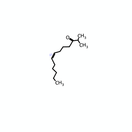 CCCCC/C=C\CCCC(=O)C(C)C